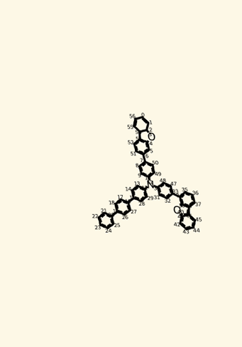 C1=CC2Oc3cc(-c4ccc(N(c5ccc(-c6ccc(-c7ccccc7)cc6)cc5)c5ccc(-c6cccc7c6oc6ccccc67)cc5)cc4)ccc3C2C=C1